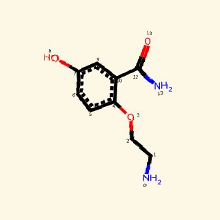 NCCOc1ccc(O)cc1C(N)=O